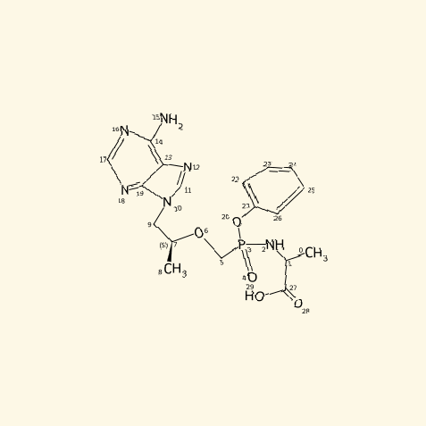 CC(NP(=O)(CO[C@@H](C)Cn1cnc2c(N)ncnc21)Oc1ccccc1)C(=O)O